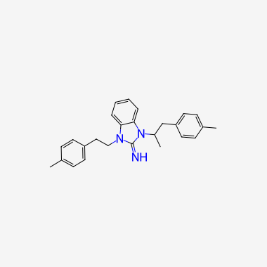 Cc1ccc(CCn2c(=N)n(C(C)Cc3ccc(C)cc3)c3ccccc32)cc1